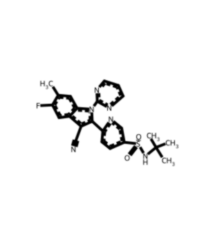 Cc1cc2c(cc1F)c(C#N)c(-c1ccc(S(=O)(=O)NC(C)(C)C)cn1)n2-c1ncccn1